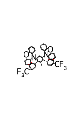 Cc1c(-c2ccc(C(F)(F)F)cc2)c(N2c3ccccc3Oc3ccccc32)cc(N2c3ccccc3Oc3ccccc32)c1-c1ccc(C(F)(F)F)cc1